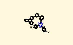 N#Cc1ccc(-c2nc(-c3ccc(C#N)cc3)nc(-c3cccc(-c4cccc(-c5ccc6c7ccccc7c7ccccc7c6c5)c4)c3)n2)cc1